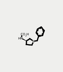 O=C(O)N[C@@H]1CCN(Cc2ccccc2)C1